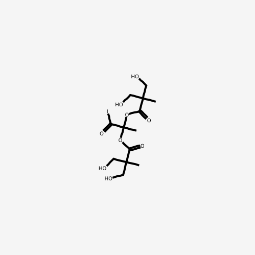 CC(CO)(CO)C(=O)OC(C)(OC(=O)C(C)(CO)CO)C(=O)I